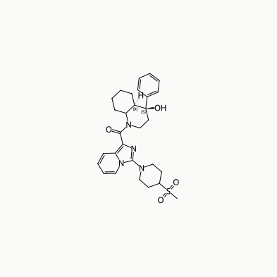 CS(=O)(=O)C1CCN(c2nc(C(=O)N3CC[C@@](O)(c4ccccc4)[C@@H]4CCCCC43)c3ccccn23)CC1